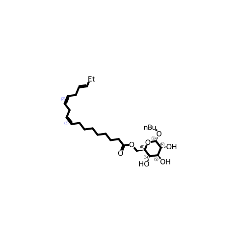 CCC=CC/C=C\C/C=C\CCCCCCCC(=O)OC[C@H]1O[C@H](OCCCC)[C@H](O)[C@@H](O)[C@@H]1O